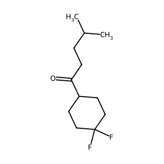 CC(C)CCC(=O)C1CCC(F)(F)CC1